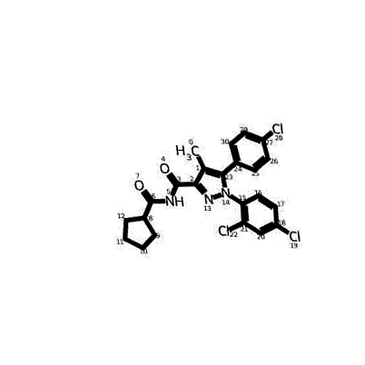 Cc1c(C(=O)NC(=O)C2CCCC2)nn(-c2ccc(Cl)cc2Cl)c1-c1ccc(Cl)cc1